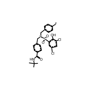 CC(C)(C)NC(=O)c1ccc(CN(Cc2ccc(F)cc2)S(=O)(=O)c2cc(Cl)cc(Cl)c2O)cc1